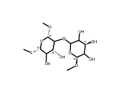 CO[C@H]1OC(OC2[C@@H](OC)O[C@@H](SC)C(O)[C@H]2O)C(O)[C@@H](O)C1O